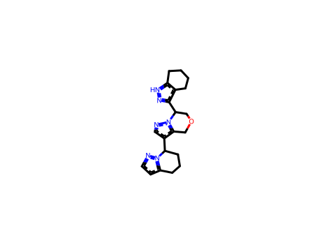 c1cc2n(n1)C(c1cnn3c1COCC3c1n[nH]c3c1CCCC3)CCC2